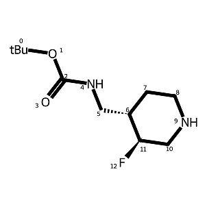 CC(C)(C)OC(=O)NC[C@@H]1CCNC[C@H]1F